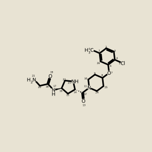 Cc1ccc(Cl)c(OC2CCN(C(=O)[C@@H]3C[C@@H](NC(=O)CN)CN3)CC2)c1